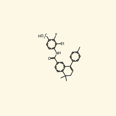 CCc1c(NC(=O)c2ccc3c(c2)C(c2ccc(C)cc2)=CCC3(C)C)ccc(C(=O)O)c1F